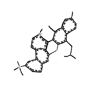 Cc1ccc2c(CC(C)C)c3c(c(C)c2c1)-c1c2c(cc4ccc([Si](C)(C)C)cc4c2cc[n+]1C)O3